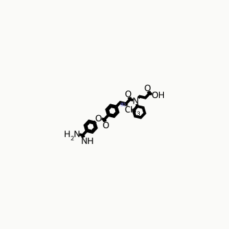 C/C(=C\c1ccc(C(=O)Oc2ccc(C(=N)N)cc2)cc1)C(=O)N(CCC(=O)O)C1CCCCC1